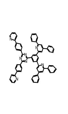 c1ccc(-c2cc(-c3ccccc3)nc(-c3cc(-c4cc(-c5ccccc5)cc(-c5ccccc5)n4)cc(-c4nc(-c5ccc(-c6ccccn6)cc5)nc(-c5ccc(-c6ccccn6)cc5)n4)c3)c2)cc1